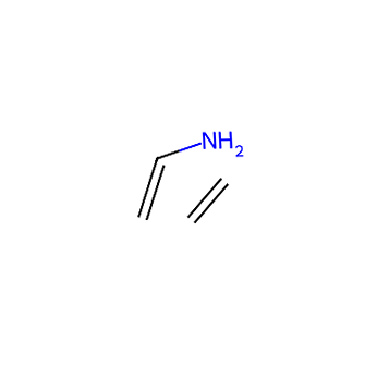 C=C.C=CN